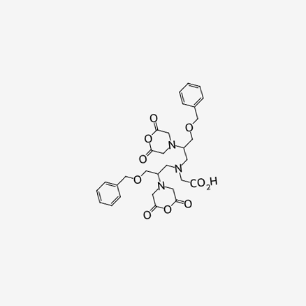 O=C(O)CN(CC(COCc1ccccc1)N1CC(=O)OC(=O)C1)CC(COCc1ccccc1)N1CC(=O)OC(=O)C1